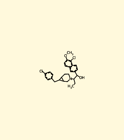 CCC(C(O)c1ccc2c(Cl)c(OC)ccc2c1)N1CCC2C(Cc3ccc(Cl)cc3)C2C1